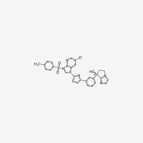 Cc1ccc(S(=O)(=O)n2cc(-c3nc(-c4cccc([C@]5(O)CCn6ccnc65)c4)cs3)c3cc(Cl)cnc32)cc1